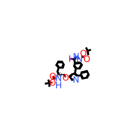 CC(C)(C)OC(=O)N[C@H](COc1cnc(-c2ccccc2)c(-c2ccc3c(c2)c(I)nn3C(=O)OC(C)(C)C)c1)Cc1ccccc1